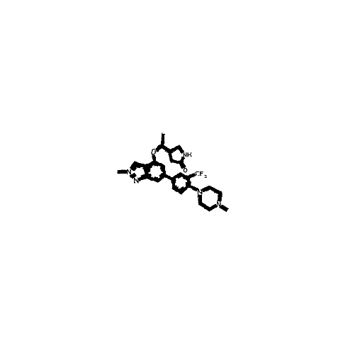 CC(Oc1cc(-c2ccc(N3CCN(C)CC3)c(C(F)(F)F)c2)cc2nn(C)cc12)C1CNC(=O)C1